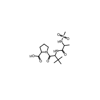 CC(NS(C)(=O)=O)C(=O)NC(C(=O)N1CCCC1C(=O)O)C(C)(C)C